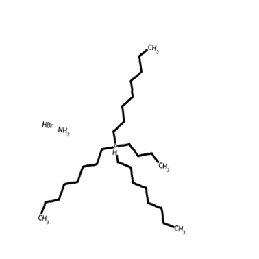 Br.CCCCCCCC[PH](CCCC)(CCCCCCCC)CCCCCCCC.N